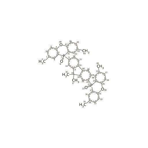 Cc1ccc2c(c1)P(=O)(c1ccc3c(c1)C(C)(C)c1cc(P4(=O)c5cc(C)ccc5Oc5ccc(C)cc54)ccc1-3)c1cc(C)ccc1O2